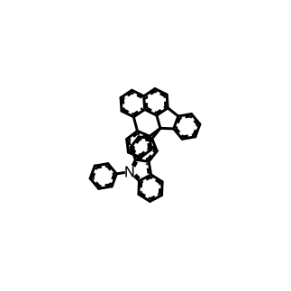 c1ccc(-n2c3ccccc3c3cc(C45c6ccccc6-c6ccc7cccc(c7c64)-c4ccccc45)ccc32)cc1